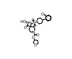 O=C(OC1CCOC1)N1CCC(CS(=O)(=O)N2CCC(c3ccccc3Cl)CC2)(C(=O)NO)CC1